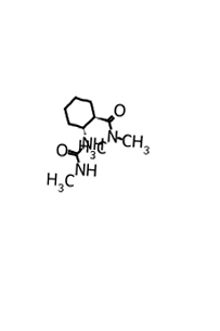 CNC(=O)N[C@@H]1CCCC[C@H]1C(=O)N(C)C